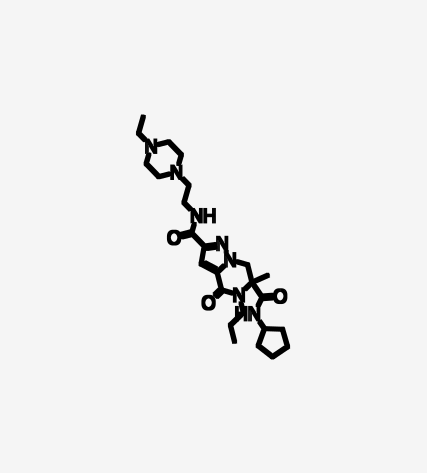 CCCN1C(=O)c2cc(C(=O)NCCN3CCN(CC)CC3)nn2CC1(C)C(=O)NC1CCCC1